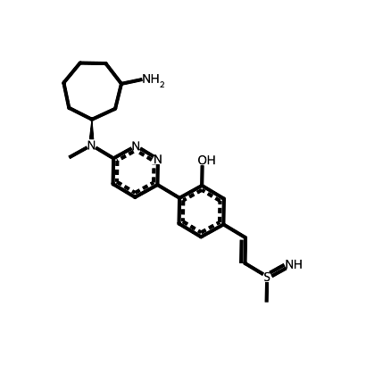 CN(c1ccc(-c2ccc(/C=C/S(C)=N)cc2O)nn1)[C@H]1CCCCC(N)C1